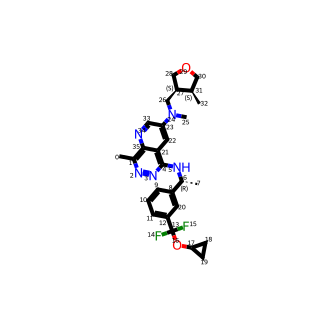 Cc1nnc(N[C@H](C)c2cccc(C(F)(F)OC3CC3)c2)c2cc(N(C)C[C@H]3COC[C@H]3C)cnc12